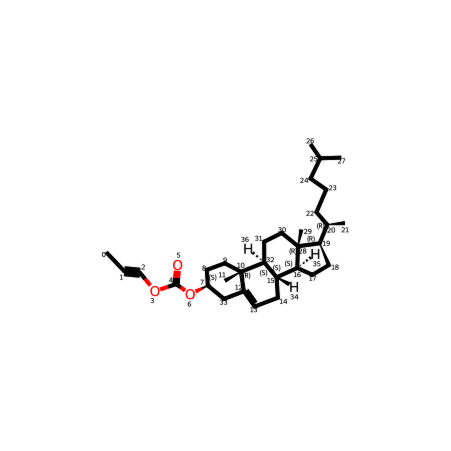 CC#COC(=O)O[C@H]1CC[C@@]2(C)C(=CC[C@H]3[C@@H]4CC[C@H]([C@H](C)CCCC(C)C)[C@@]4(C)CC[C@@H]32)C1